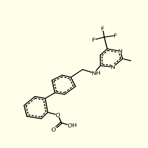 Cc1nc(NCc2ccc(-c3ccccc3OC(=O)O)cc2)cc(C(F)(F)F)n1